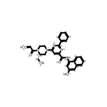 C=CC(=O)N1CCN(c2cc(C(=O)Nc3cc(O)cc4ccccc34)nc(-c3ccccc3)n2)C[C@@H]1CC#N